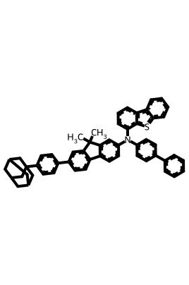 CC1(C)c2cc(-c3ccc(C45CC6CC(CC(C6)C4)C5)cc3)ccc2-c2ccc(N(c3ccc(-c4ccccc4)cc3)c3cccc4c3sc3ccccc34)cc21